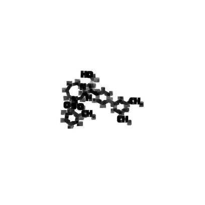 Cc1cc(C)cc(-c2ccc([C@@H]3[C@@H](CO)N4CCCCN(S(=O)(=O)c5ccccc5C)C[C@@H]34)cc2)c1